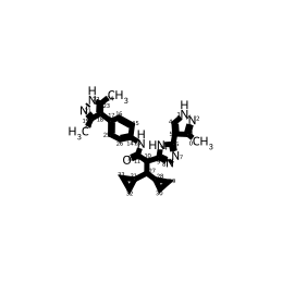 Cc1n[nH]cc1-c1nnc(C(C(=O)Nc2ccc(-c3c(C)n[nH]c3C)cc2)C(C2CC2)C2CC2)[nH]1